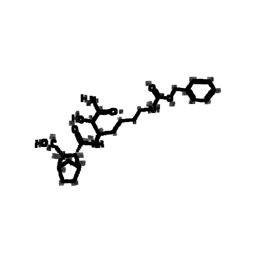 NC(=O)C(O)C(CCCCNC(=O)OCc1ccccc1)NC(=O)[C@@H]1C2CCC(C2)N1C(=O)O